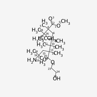 COC(=O)C(C)(CC(C)(C)C(C)(C)C(C)(CC(C)(C)N)C(=O)OCCO)C(C)(C)C